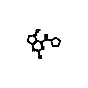 [O-][S+]1CCc2nc(Cl)nc(NC3CCCC3)c21